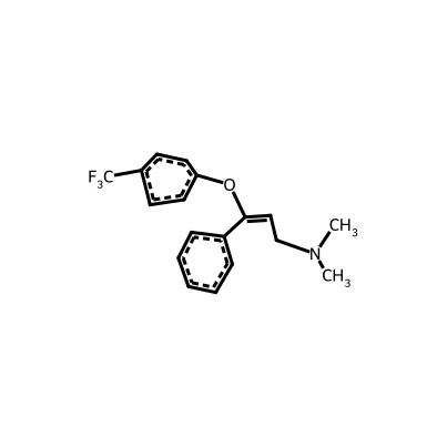 CN(C)CC=C(Oc1ccc(C(F)(F)F)cc1)c1ccccc1